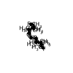 C[C@@H]1CN(CC(=O)N2CC(C)(C)c3ncc(N(C)c4ccc(F)cc4)cc32)[C@@H](CN2CCO[C@H](COc3cccc(OC[C@@H]4CN(C[C@H]5CN[C@H](C)CN5CC(=O)N5CC(C)(C)c6ncc(N(C)c7ccc(F)cc7)cc65)CCO4)c3)C2)CN1